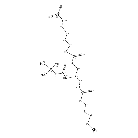 CCCCCCC(=O)OCC(COC(=O)CCCCCO[N+](=O)[O-])NC(=O)OC(C)(C)C